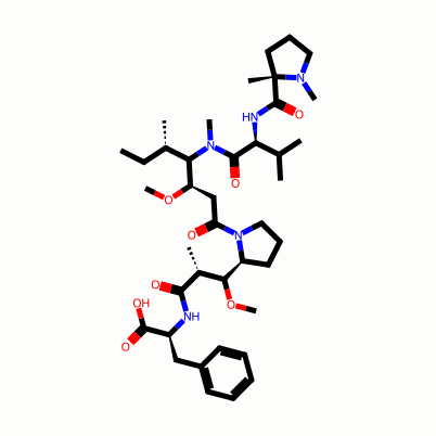 CC[C@H](C)C([C@@H](CC(=O)N1CCC[C@H]1C(OC)[C@@H](C)C(=O)N[C@@H](Cc1ccccc1)C(=O)O)OC)N(C)C(=O)[C@@H](NC(=O)[C@]1(C)CCCN1C)C(C)C